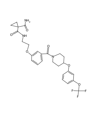 NC(=O)C1(C(=O)NCCOc2cccc(C(=O)N3CCC(Oc4cccc(OC(F)(F)F)c4)CC3)c2)CC1